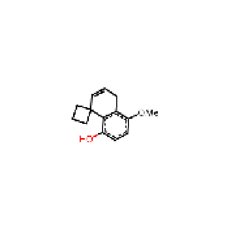 COc1ccc(O)c2c1CC=CC21CCC1